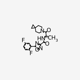 C[C@@H](NC(=O)c1noc(-c2cc(F)ccc2F)n1)C(=O)N1CCC2(CC1)CC2